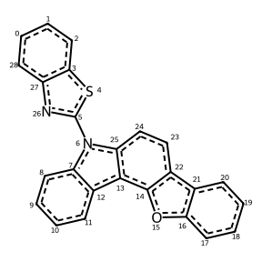 c1ccc2sc(-n3c4ccccc4c4c5oc6ccccc6c5ccc43)nc2c1